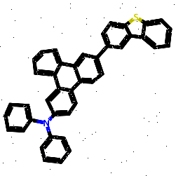 c1ccc(N(c2ccccc2)c2ccc3c4ccc(-c5ccc6sc7ccccc7c6c5)cc4c4ccccc4c3c2)cc1